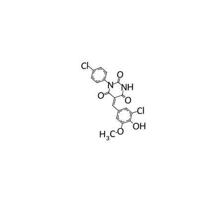 COc1cc(C=C2C(=O)NC(=O)N(c3ccc(Cl)cc3)C2=O)cc(Cl)c1O